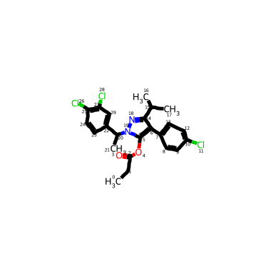 CCC(=O)Oc1c(-c2ccc(Cl)cc2)c(C(C)C)nn1C(C)c1ccc(Cl)c(Cl)c1